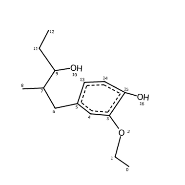 CCOc1cc(CC(C)C(O)CC)ccc1O